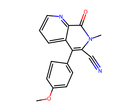 COc1ccc(-c2c(C#N)n(C)c(=O)c3ncccc23)cc1